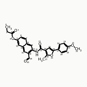 CCC(=O)Oc1ccc2cc(NC(=O)c3cc(-c4ccc(OC)cc4)oc3C)c(C=O)cc2c1